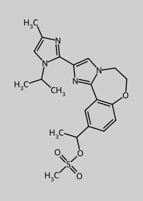 Cc1cn(C(C)C)c(-c2cn3c(n2)-c2cc(C(C)OS(C)(=O)=O)ccc2OCC3)n1